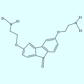 CCN(CC)CCOc1ccc2c(c1)-c1cc(OCCN(CC)CC)ccc1C2=O